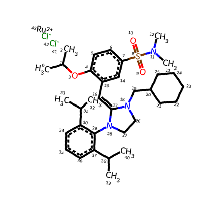 CC(C)Oc1ccc(S(=O)(=O)N(C)C)cc1C=C1N(CC2CCCCC2)CCN1c1c(C(C)C)cccc1C(C)C.[Cl-].[Cl-].[Ru+2]